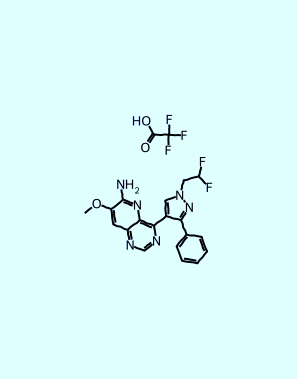 COc1cc2ncnc(-c3cn(CC(F)F)nc3-c3ccccc3)c2nc1N.O=C(O)C(F)(F)F